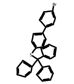 Brc1ccc(-c2ccc(SC(c3ccccc3)(c3ccccc3)c3ccccc3)cc2)cc1